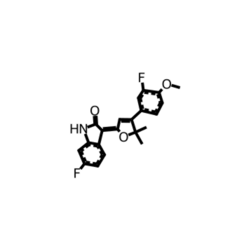 COc1ccc(C2=C/C(=C3\C(=O)Nc4cc(F)ccc43)OC2(C)C)cc1F